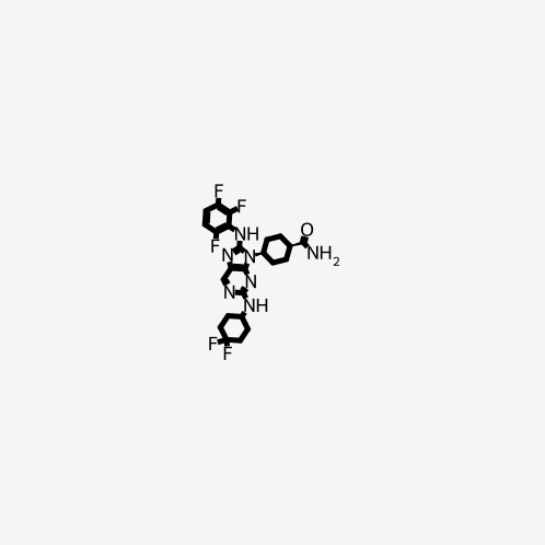 NC(=O)[C@H]1CC[C@@H](n2c(Nc3c(F)ccc(F)c3F)nc3cnc(NC4CCC(F)(F)CC4)nc32)CC1